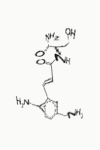 NC(=O)C(CO)NC(=O)C=Cc1cc(N)ccc1N